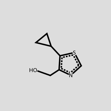 OCc1ncsc1C1CC1